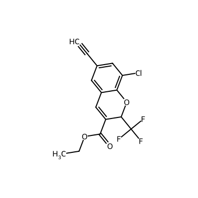 C#Cc1cc(Cl)c2c(c1)C=C(C(=O)OCC)C(C(F)(F)F)O2